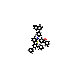 c1ccc(-c2cc(-c3ccccc3)c3sc4c(N(c5ccc(-c6cccc7ccccc67)cc5)c5ccc6c(c5)oc5ccccc56)cccc4c3c2)cc1